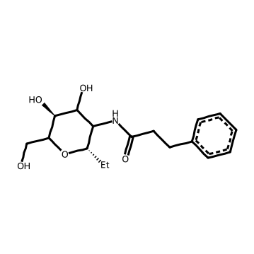 CC[C@@H]1OC(CO)[C@@H](O)C(O)C1NC(=O)CCc1ccccc1